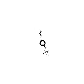 CCCCOc1ccc(CNS(C)(=O)=O)cc1